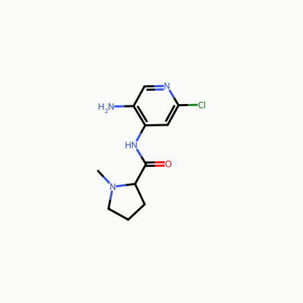 CN1CCCC1C(=O)Nc1cc(Cl)ncc1N